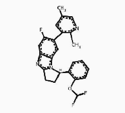 Cc1cnc(C)c(-c2cc3c(cc2F)nc2n3[C@@H](c3ccccc3OC(F)F)CC2)c1